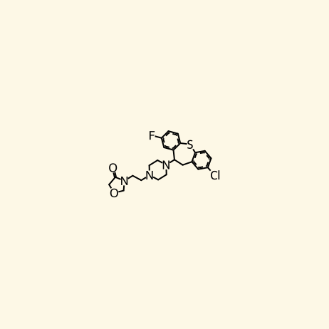 O=C1COCN1CCN1CCN(C2Cc3cc(Cl)ccc3Sc3ccc(F)cc32)CC1